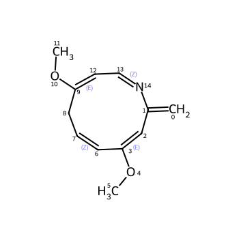 C=C1/C=C(OC)\C=C/C/C(OC)=C\C=N/1